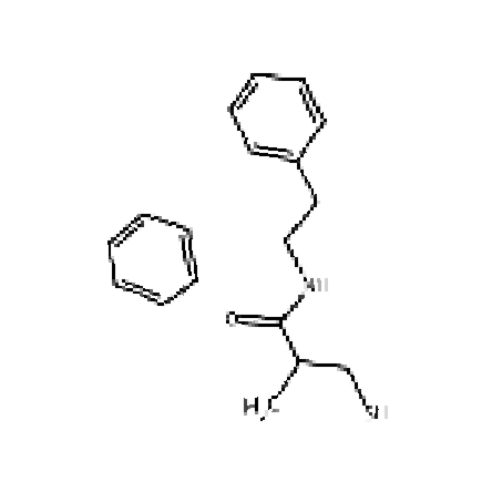 CC(CS)C(=O)NCCc1ccccc1.c1ccccc1